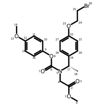 COC(=O)CN(C(=O)Oc1ccc(OC)cc1)[C@@H](C)c1ccc(OCCBr)cc1